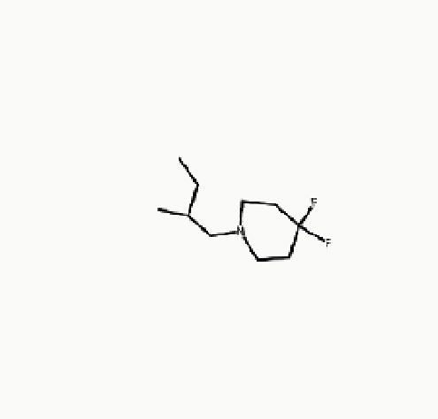 CCC(C)CN1CCC(F)(F)CC1